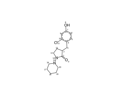 O=C1C(Cc2ccc(O)cc2Cl)CCN1N1CCCCC1